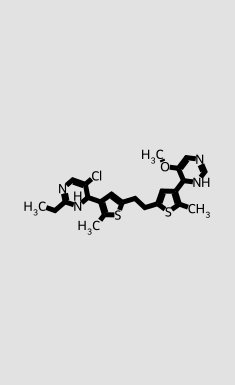 CCC1=NC=C(Cl)C(c2cc(CCc3cc(C4NC=NC=C4OC)c(C)s3)sc2C)N1